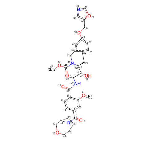 CCOc1cc(C(=O)N2C3CCC2COC3)ccc1C(=O)NC[C@@H](O)[C@@H]1Cc2ccc(OCc3cnco3)cc2CN1C(=O)OC(C)(C)C